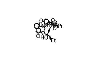 CC/C=C/[C@@](O)(C#CCN(C)C)[C@@H]1CC[C@H]1CN1C[C@@]2(CCCc3cc(Cl)ccc32)COc2ccc(C(=O)NS(=O)(=O)C(C)C)cc21